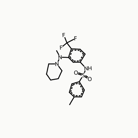 Cc1ccc(S(=O)(=O)Nc2ccc(C(F)(F)F)c(N(C)N3CCCCC3)c2)cc1